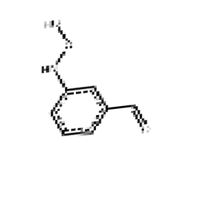 O=Cc1cccc(NOO)c1